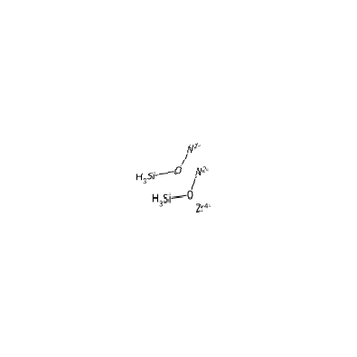 [N-2]O[SiH3].[N-2]O[SiH3].[Zr+4]